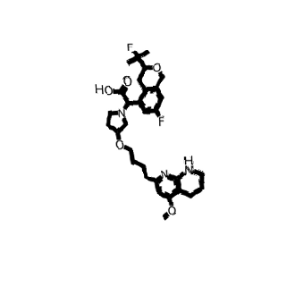 COc1cc(CCCCOC2CCN(C(C(=O)O)c3cc(F)cc4c3CC(C(C)(C)F)OC4)C2)nc2c1CCCN2